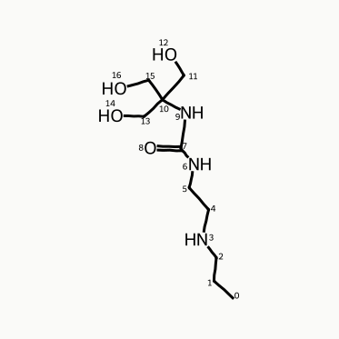 CCCNCCNC(=O)NC(CO)(CO)CO